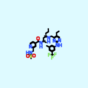 CCC[C@H](C[C@@H](C)NC(=O)c1ccnc(CNS(C)(=O)=O)c1)NCc1nc(Nc2cc(C)cc(C(F)(F)F)c2)ncc1CC